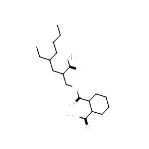 CCCCC(CC)CC(COC(=O)C1CCCCC1C(=O)O)C(=O)O